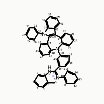 Cc1ccccc1N/C(=N/c1ccccc1)c1cccc(N2c3ccccc3-c3c(n(-c4ccccc4)c4ccccc34)-c3ccccc32)c1